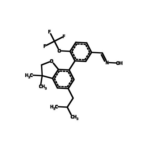 CC(C)Cc1cc(-c2cc(C=NO)ccc2OC(F)(F)F)c2c(c1)C(C)(C)CO2